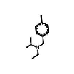 CCN(Cc1ccc(C)cc1)C(C)C